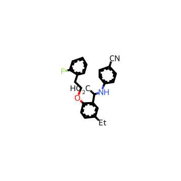 CCc1ccc(OCCc2ccccc2F)c(C(Nc2ccc(C#N)cc2)C(=O)O)c1